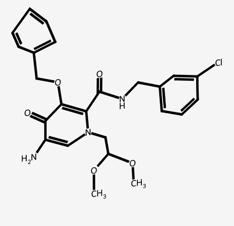 COC(Cn1cc(N)c(=O)c(OCc2ccccc2)c1C(=O)NCc1cccc(Cl)c1)OC